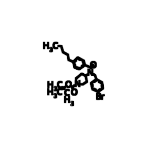 CCCCCc1ccc(C(=O)N(Cc2ccc(Br)cc2)C2CCN(C(=O)OC(C)(C)C)CC2)cc1